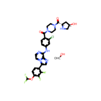 O=C(c1ccc(Nc2nccn3c(-c4ccc(OC(F)F)c(F)c4F)cnc23)cc1Cl)N1CCN(C(=O)[C@@H]2C[C@@H](O)CN2)CC1.O=CO